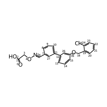 O=C(O)CON=Cc1cccc(-c2cccc(OCc3ccccc3Cl)c2)c1